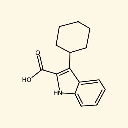 O=C(O)c1[nH]c2ccccc2c1C1CCCCC1